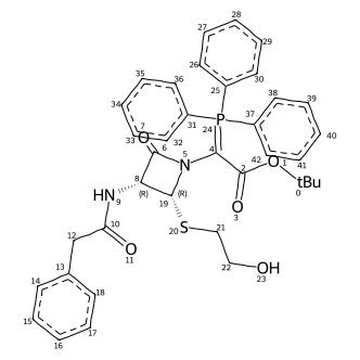 CC(C)(C)OC(=O)C(N1C(=O)[C@@H](NC(=O)Cc2ccccc2)[C@H]1SCCO)=P(c1ccccc1)(c1ccccc1)c1ccccc1